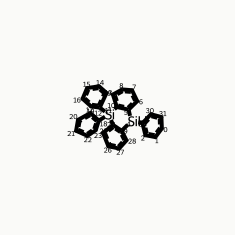 c1ccc([SiH]2c3ccccc3[Si](c3ccccc3)(c3ccccc3)c3ccccc32)cc1